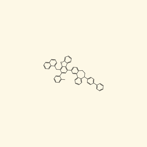 Cc1ccccc1-c1cc(-c2ccc3c(c2)-c2ccccc2C(c2ccc(-c4ccccc4)cc2)CC3)c2c(sc3ccccc32)c1Cc1cccc2ccccc12